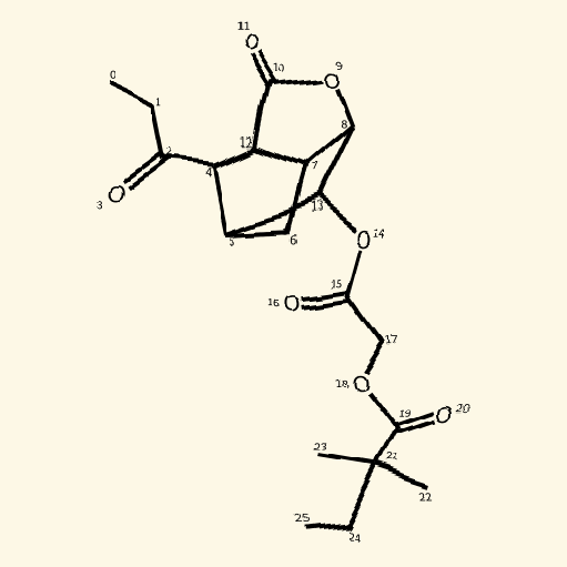 CCC(=O)C1C2CC3C(OC(=O)C31)C2OC(=O)COC(=O)C(C)(C)CC